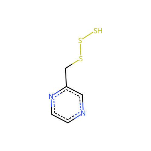 SSSCc1cnccn1